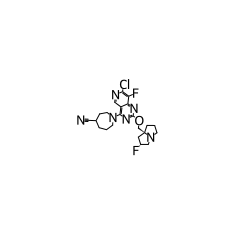 N#CC1CCCN(c2nc(OC[C@@]34CCCN3C[C@H](F)C4)nc3c(F)c(Cl)ncc23)CC1